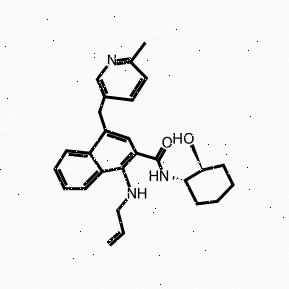 C=CCNc1c(C(=O)N[C@H]2CCCC[C@@H]2O)cc(Cc2ccc(C)nc2)c2ccccc12